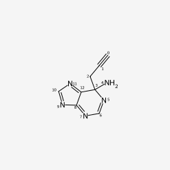 C#CCC1(N)N=CN=C2N=CN=C21